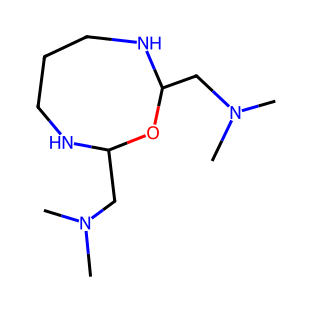 CN(C)CC1NCCCNC(CN(C)C)O1